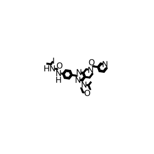 CC(I)NC(=O)Nc1ccc(-c2nc3c(c(N4CCOCC4C)n2)CCN(C(=O)c2cccnc2)C3)cc1